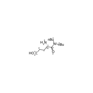 CCCCN(CCCC)C(=O)[C@@H](N)CCC(=O)O